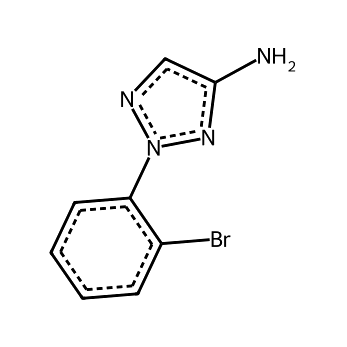 Nc1cnn(-c2ccccc2Br)n1